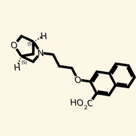 O=C(O)c1cc2ccccc2cc1OCCCN1C[C@@H]2C[C@H]1CO2